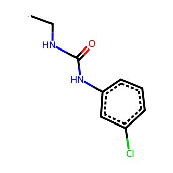 [CH2]CNC(=O)Nc1cccc(Cl)c1